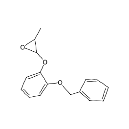 CC1OC1Oc1ccccc1OCc1ccccc1